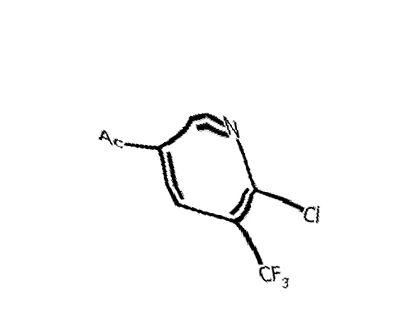 CC(=O)c1cnc(Cl)c(C(F)(F)F)c1